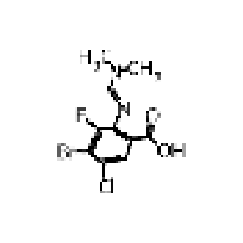 CN(C)C=Nc1c(C(=O)O)cc(Cl)c(Br)c1F